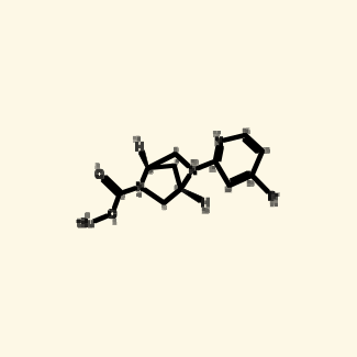 CC(C)(C)OC(=O)N1C[C@@H]2C[C@H]1CN2c1cc(Br)ccn1